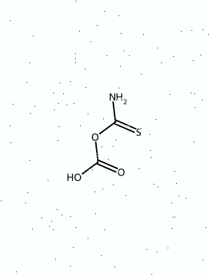 NC(=S)OC(=O)O